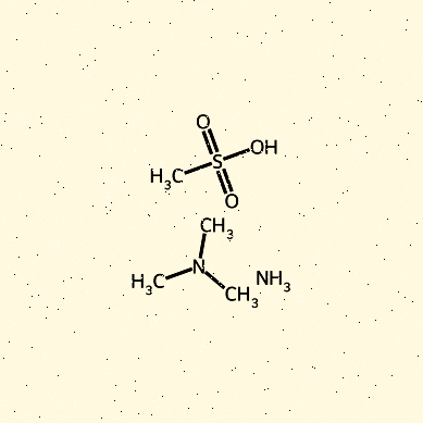 CN(C)C.CS(=O)(=O)O.N